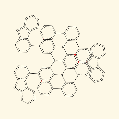 c1ccc(-c2cccc(-c3ccccc3)c2N2c3ccc(-c4cccc5oc6ccccc6c45)cc3B3c4cc(-c5cccc6oc7ccccc7c56)ccc4N(c4c(-c5ccccc5)cccc4-c4ccccc4)c4cc(-n5c6ccccc6c6ccccc65)cc2c43)cc1